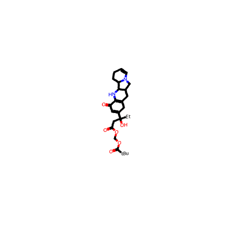 CCC(O)(CC(=O)OCOC(=O)C(C)(C)C)C1=CC(=O)C2=C(C1)CC1CN3C=CCCC3C1N2